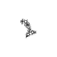 O=S(=O)(c1cccc(C(F)(F)F)c1)N1CCC(=NOC(c2ccc(F)cc2)c2ccc(F)cc2)CC1